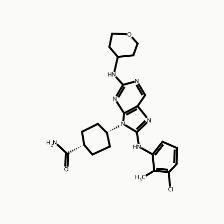 Cc1c(Cl)cccc1Nc1nc2cnc(NC3CCOCC3)nc2n1[C@H]1CC[C@@H](C(N)=O)CC1